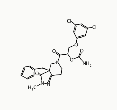 CN1N=C2CCN(C(=O)C(COc3cc(Cl)cc(Cl)c3)OC(N)=O)C[C@@]2(Cc2ccccc2)C1=O